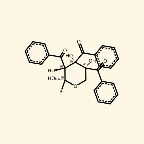 O=C(c1ccccc1)[C@]1(O)[C@@](O)(C(=O)c2ccccc2)[C@@](O)(C(=O)c2ccccc2)CO[C@@]1(O)Br